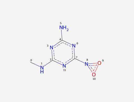 CNc1nc(N)nc(-n2oo2)n1